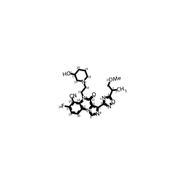 COCC(C)c1nc(-c2ncn3c2c(=O)n(CCN2CCCC(O)C2)c2c(C#N)c(F)ccc23)no1